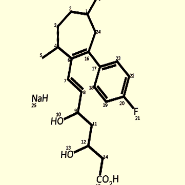 CC1CCC(C)C(C=CC(O)CC(O)CC(=O)O)=C(c2ccc(F)cc2)C1.[NaH]